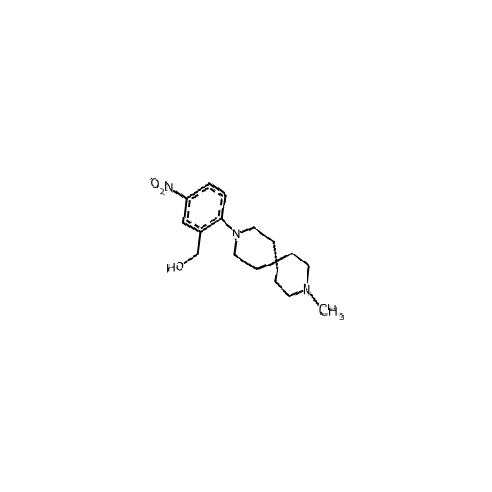 CN1CCC2(CC1)CCN(c1ccc([N+](=O)[O-])cc1CO)CC2